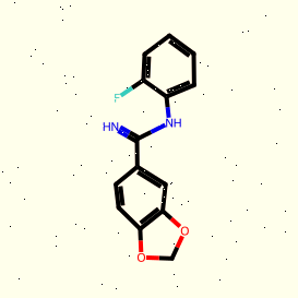 N=C(Nc1ccccc1F)c1ccc2c(c1)OCO2